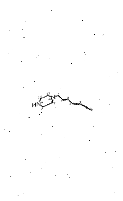 [CH2]C=CC=CCN1CCNCC1